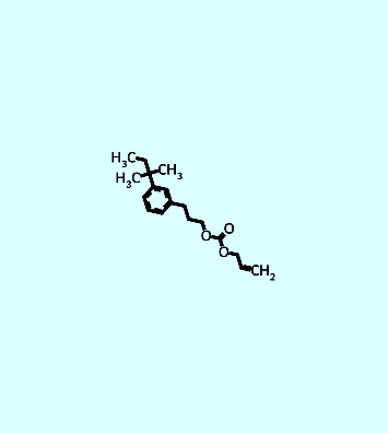 C=CCOC(=O)OCCCc1cccc(C(C)(C)CC)c1